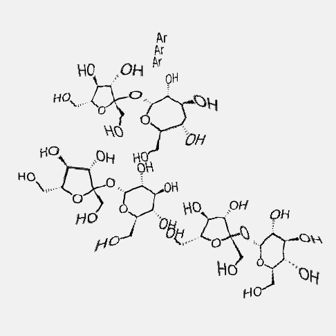 OC[C@H]1O[C@@](CO)(O[C@H]2O[C@H](CO)[C@@H](O)[C@H](O)[C@H]2O)[C@@H](O)[C@@H]1O.OC[C@H]1O[C@@](CO)(O[C@H]2O[C@H](CO)[C@@H](O)[C@H](O)[C@H]2O)[C@@H](O)[C@@H]1O.OC[C@H]1O[C@@](CO)(O[C@H]2O[C@H](CO)[C@@H](O)[C@H](O)[C@H]2O)[C@@H](O)[C@@H]1O.[Ar].[Ar].[Ar]